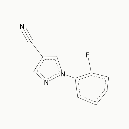 N#Cc1cnn(-c2ccccc2F)c1